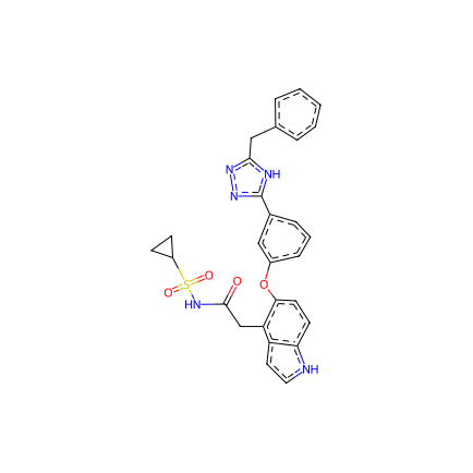 O=C(Cc1c(Oc2cccc(-c3nnc(Cc4ccccc4)[nH]3)c2)ccc2[nH]ccc12)NS(=O)(=O)C1CC1